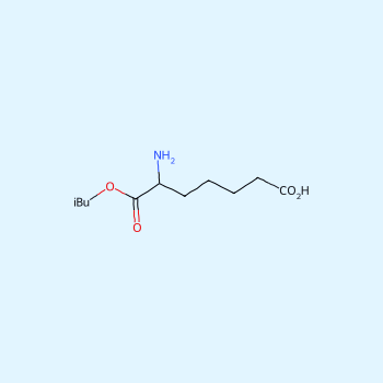 CCC(C)OC(=O)C(N)CCCCC(=O)O